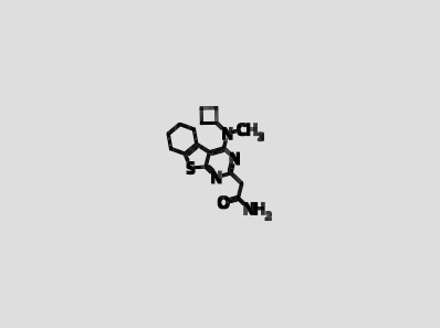 CN(c1nc(CC(N)=O)nc2sc3c(c12)CCCC3)C1CCC1